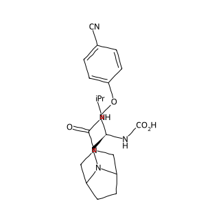 CC(C)NC(=O)N1CC2CCC(C1)N2C[C@@H](COc1ccc(C#N)cc1)NC(=O)O